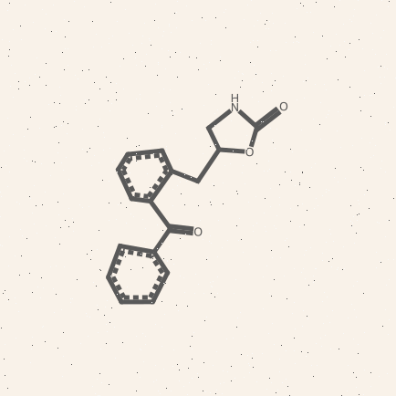 O=C1NCC(Cc2ccccc2C(=O)c2ccccc2)O1